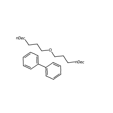 CCCCCCCCCCCCCOCCCCCCCCCCCCC.c1ccc(-c2ccccc2)cc1